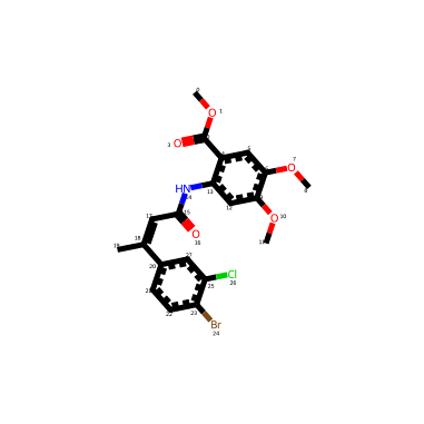 COC(=O)c1cc(OC)c(OC)cc1NC(=O)/C=C(/C)c1ccc(Br)c(Cl)c1